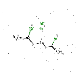 Br.Br.C=C(Br)C[Te+]CC(=C)Br